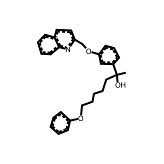 CC(O)(CCCCCOc1ccccc1)c1cccc(OCc2ccc3ccccc3n2)c1